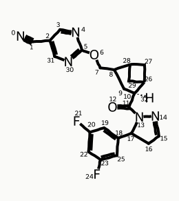 N#Cc1cnc(OCC2C[C@H](C(=O)N3N=CCC3c3cc(F)cc(F)c3)C3CC2C3)nc1